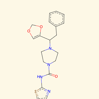 O=C(Nc1nccs1)N1CCN(C(Cc2ccccc2)C2=COCO2)CC1